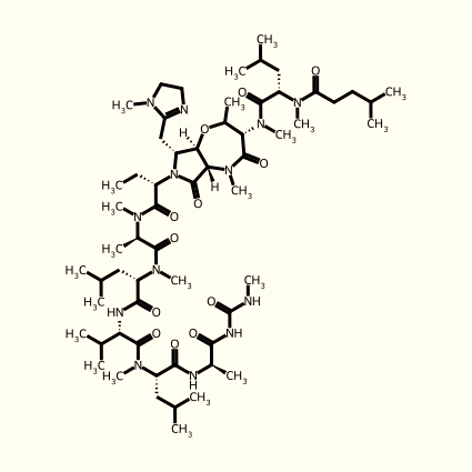 CC[C@@H](C(=O)N(C)[C@H](C)C(=O)N(C)[C@@H](CC(C)C)C(=O)N[C@H](C(=O)N(C)[C@@H](CC(C)C)C(=O)N[C@H](C)C(=O)NC(=O)NC)C(C)C)N1C(=O)[C@@H]2[C@H](OC(C)[C@H](N(C)C(=O)[C@H](CC(C)C)N(C)C(=O)CCC(C)C)C(=O)N2C)[C@H]1CC1=NCCN1C